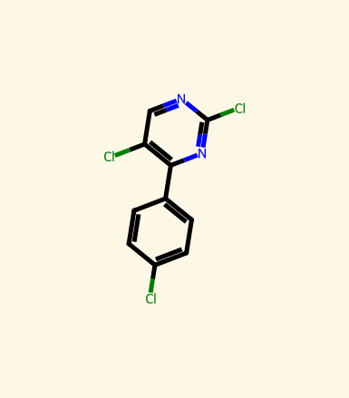 Clc1ccc(-c2nc(Cl)ncc2Cl)cc1